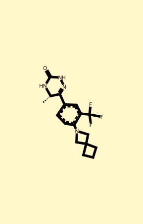 C[C@@H]1NC(=O)NN=C1c1ccc(N2CC3(CCC3)C2)c(C(F)(F)F)c1